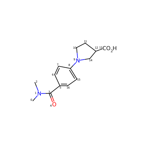 CN(C)C(=O)c1ccc(N2CCC(C(=O)O)C2)cc1